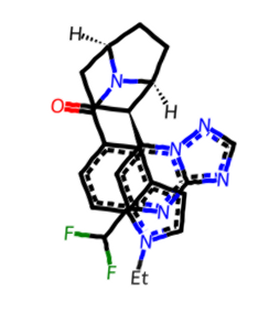 CCn1ccc2cc(C(=O)N3[C@H]4CC[C@H](c5cc(C(F)F)nc6ncnn56)[C@@H]3CC4)ccc21